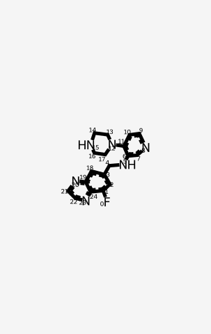 Fc1cc(CNc2cnccc2N2CCNCC2)cc2nccnc12